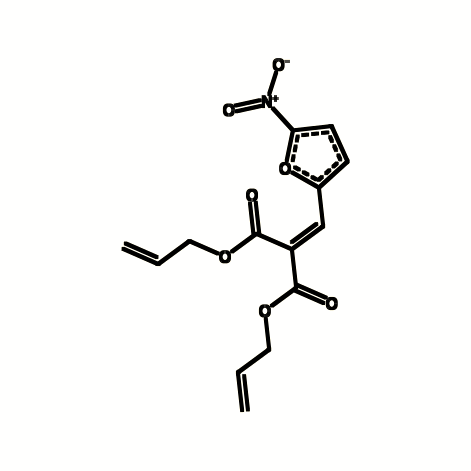 C=CCOC(=O)C(=Cc1ccc([N+](=O)[O-])o1)C(=O)OCC=C